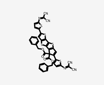 N#CC(C#N)=Nc1ccc(C2=Cc3sc4c(sc5cc(-c6ccc(N=C(C#N)C#N)s6)sc54)c3C2(C(=O)OCc2ccccc2)C(=O)OCc2ccccc2)s1